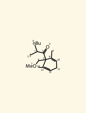 CCCCC(I)C(=O)C1(COC)C(C)=CCC=C1C